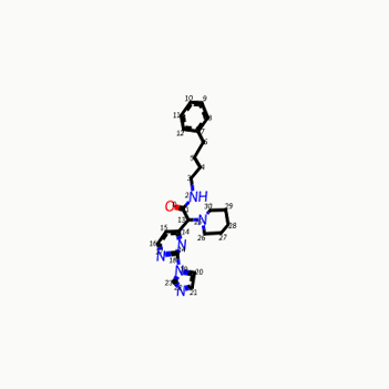 O=C(NCCCCc1ccccc1)C(c1ccnc(-n2ccnc2)n1)N1CCCCC1